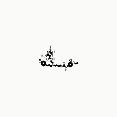 CCOc1ccc(NC(=O)NCCCCN(CCCc2ccc(OC)cc2)CCNC(=O)c2nc(Cl)c(N)nc2N)cc1Cl